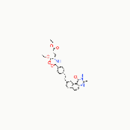 CCOC(=O)CC[C@@H](NC(=O)c1ccc(CCc2ccc3ccc4nc(C)[nH]c(=O)c4c3c2)cc1)C(=O)OCC